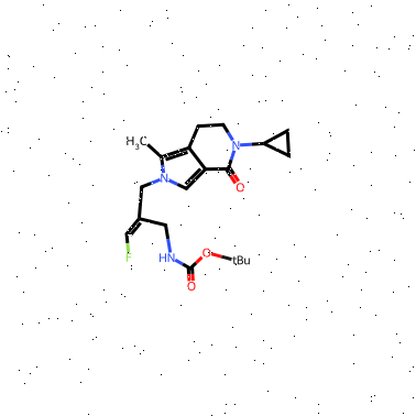 Cc1c2c(cn1CC(=CF)CNC(=O)OC(C)(C)C)C(=O)N(C1CC1)CC2